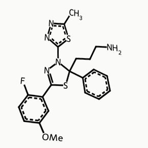 COc1ccc(F)c(C2=NN(c3nnc(C)s3)C(CCCN)(c3ccccc3)S2)c1